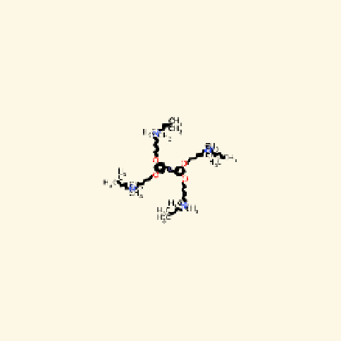 CC(C)CCC[N+](C)(C)CCCCCCOc1cc(/C=C/c2cc(OCCCCCC[N+](C)(C)CCCC(C)C)cc(OCCCCCC[N+](C)(C)CCCC(C)C)c2)cc(OCCCCCC[N+](C)(C)CCCC(C)C)c1